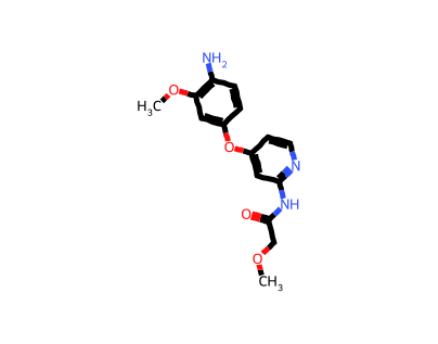 COCC(=O)Nc1cc(Oc2ccc(N)c(OC)c2)ccn1